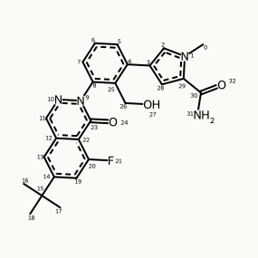 Cn1cc(-c2cccc(-n3ncc4cc(C(C)(C)C)cc(F)c4c3=O)c2CO)cc1C(N)=O